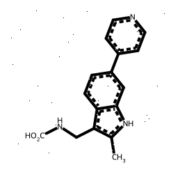 Cc1[nH]c2cc(-c3ccncc3)ccc2c1CNC(=O)O